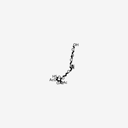 CC(=O)OC1C(OC(C)=O)[C@H](OC(C)=O)C(S)O[C@H]1OCCCCOCc1cn(CCOCCOCCOCCO)nn1